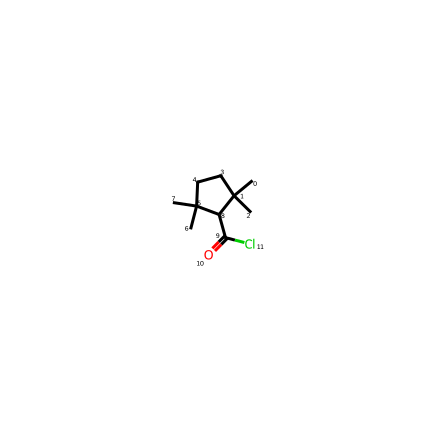 CC1(C)CCC(C)(C)C1C(=O)Cl